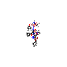 Cc1ccc(OCCN(C)C(=O)OC(C)(C)C)cc1CNC(=O)[C@H](CCc1ccccc1)NC(=O)[C@H](CC(=O)OC(C)(C)C)NC(=O)OCc1ccccc1